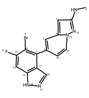 CNc1cc2cc(-c3c(Br)c(F)cc4[nH]ncc34)ccn2n1